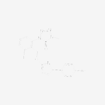 Cn1nnn(-c2cccc(I)c2COc2nc(-c3ccc(Br)cc3)cs2)c1=O